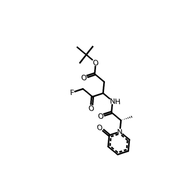 C[C@@H](C(=O)NC(CC(=O)OC(C)(C)C)C(=O)CF)n1ccccc1=O